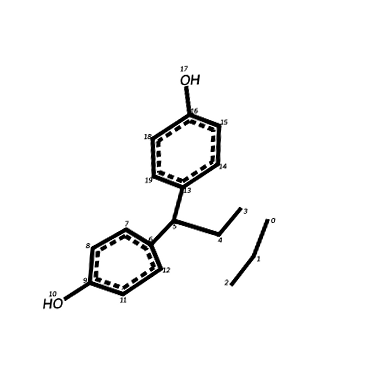 CCC.CCC(c1ccc(O)cc1)c1ccc(O)cc1